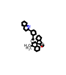 CC1(C)c2ccccc2C2(c3ccccc3-c3ccccc32)c2cc(-c3cccc(-c4ccc5ccccc5n4)c3)ccc21